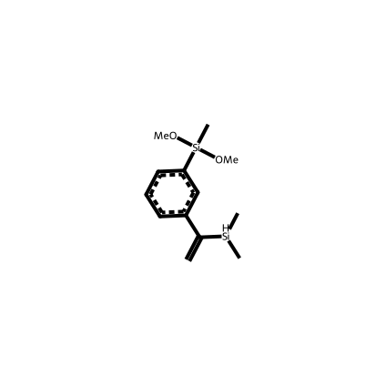 C=C(c1cccc([Si](C)(OC)OC)c1)[SiH](C)C